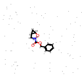 O=C(OCc1ccccc1)N1CC2CC2O1